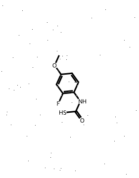 COc1ccc(NC(=O)S)c(F)c1